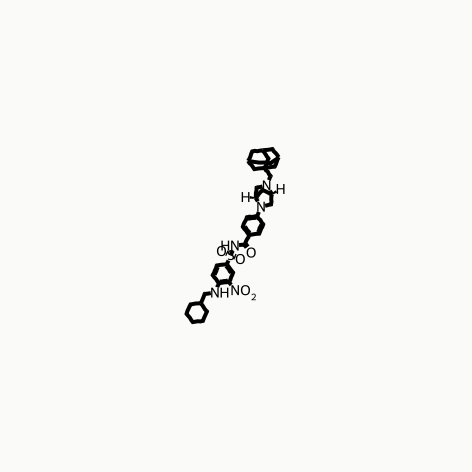 O=C(NS(=O)(=O)c1ccc(NCC2CCCCC2)c([N+](=O)[O-])c1)c1ccc(N2C[C@@H]3C[C@H]2CN3CC23CC4CC(CC(C4)C2)C3)cc1